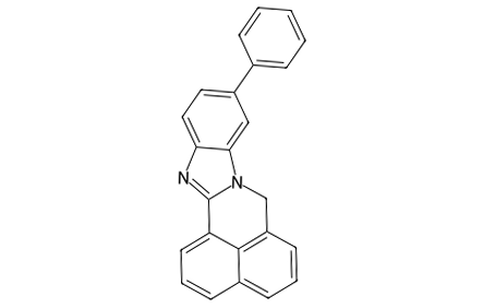 c1ccc(-c2ccc3nc4n(c3c2)Cc2cccc3cccc-4c23)cc1